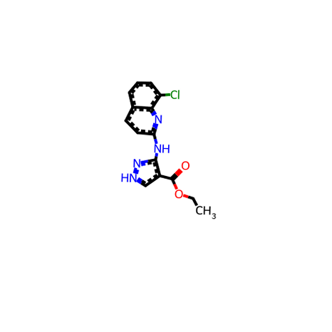 CCOC(=O)c1c[nH]nc1Nc1ccc2cccc(Cl)c2n1